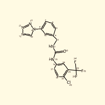 O=C(NCc1cccc(-n2cnnn2)c1)Nc1ccc(Cl)c(C(F)(F)F)c1